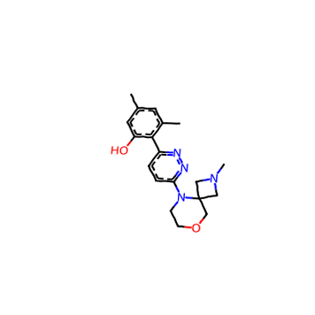 Cc1cc(C)c(-c2ccc(N3CCOCC34CN(C)C4)nn2)c(O)c1